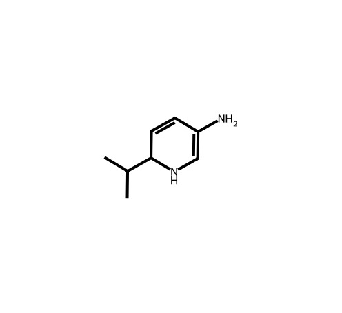 CC(C)C1C=CC(N)=CN1